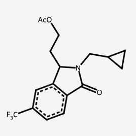 CC(=O)OCCC1c2cc(C(F)(F)F)ccc2C(=O)N1CC1CC1